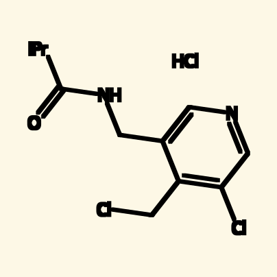 CC(C)C(=O)NCc1cncc(Cl)c1CCl.Cl